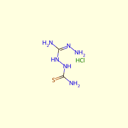 Cl.NN=C(N)NNC(N)=S